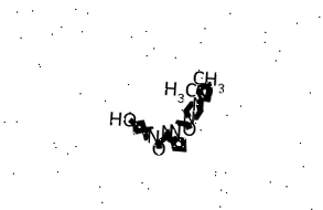 Cc1cccc(N2CCN(C(=O)Cn3nc(C(=O)N4CC5(CC(O)C5)C4)c4c3CCC4)CC2)c1C